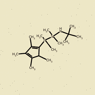 CC1=C(C)C(C)[C]([Ti]([CH3])([CH3])[Si](C)(C)NC(C)(C)C)=C1C